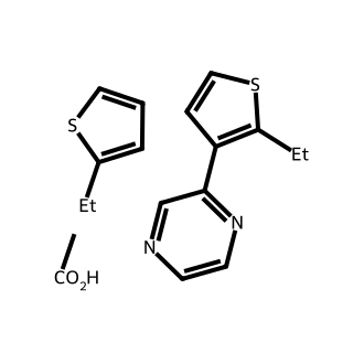 CC(=O)O.CCc1cccs1.CCc1sccc1-c1cnccn1